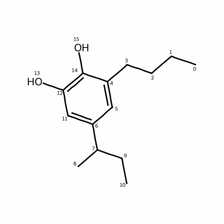 CCCCc1cc(C(C)CC)cc(O)c1O